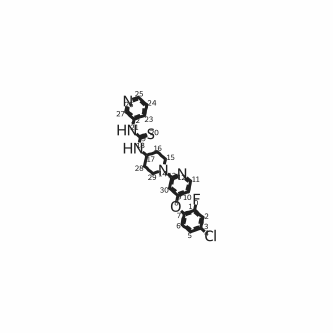 Fc1cc(Cl)ccc1Oc1ccnc(N2CCC(NC(=S)Nc3cccnc3)CC2)c1